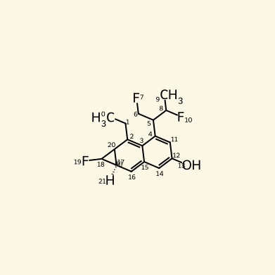 CCC1=c2c(C(CF)C(C)F)cc(O)cc2=C[C@H]2C(F)C12